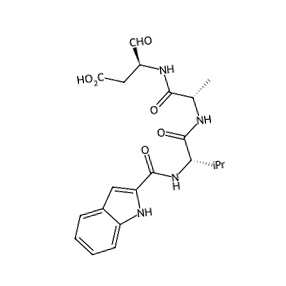 CC(C)[C@H](NC(=O)c1cc2ccccc2[nH]1)C(=O)N[C@@H](C)C(=O)N[C@H](C=O)CC(=O)O